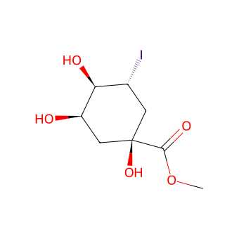 COC(=O)[C@]1(O)C[C@@H](O)[C@@H](O)[C@H](I)C1